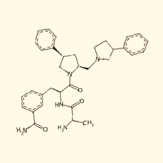 CC(N)C(=O)NC(Cc1cccc(C(N)=O)c1)C(=O)N1C[C@@H](c2ccccc2)C[C@H]1CN1CCC(c2ccccc2)C1